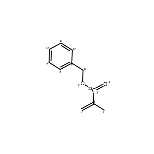 C=C(C)[13C](=O)OCc1ccccc1